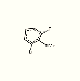 [Li][c]1cccc(F)c1OC